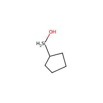 O[SiH2]C1CCCC1